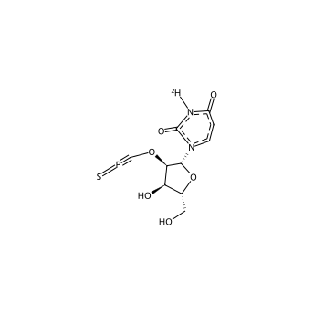 [2H]n1c(=O)ccn([C@@H]2O[C@H](CO)[C@@H](O)[C@H]2OC#P=S)c1=O